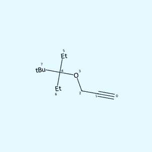 C#CCOC(CC)(CC)C(C)(C)C